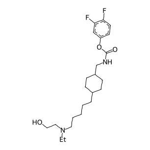 CCN(CCO)CCCCCC1CCC(CNC(=O)Oc2ccc(F)c(F)c2)CC1